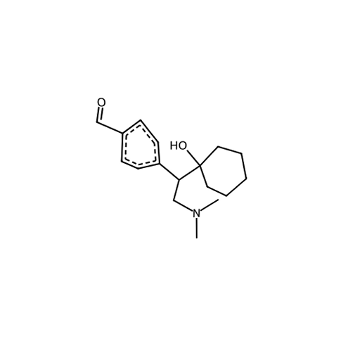 CN(C)CC(c1ccc(C=O)cc1)C1(O)CCCCC1